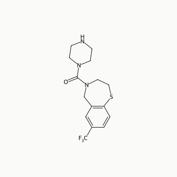 O=C(N1CCNCC1)N1CCSc2ccc(C(F)(F)F)cc2C1